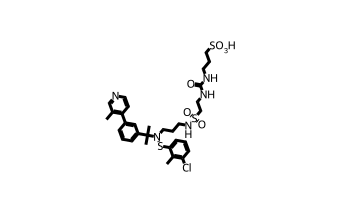 Cc1cnccc1-c1cccc(C(C)(C)N(CCCNS(=O)(=O)CCNC(=O)NCCCS(=O)(=O)O)Sc2cccc(Cl)c2C)c1